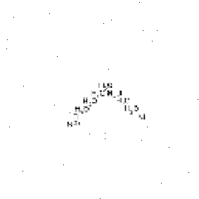 O.O.O.O.O.O.O.[Cl-].[Cl-].[Ni+2]